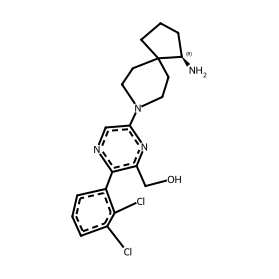 N[C@@H]1CCCC12CCN(c1cnc(-c3cccc(Cl)c3Cl)c(CO)n1)CC2